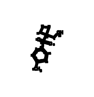 Cc1ccc(S(=O)(=O)C2(CO)CCC2)cc1